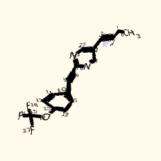 CC/C=C/c1cnc(C#Cc2ccc(OC(F)(F)F)cc2)nc1